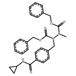 CN(C(=O)OCc1ccccc1)N(Cc1ccc(C(=O)NC2CC2)cc1)C(=O)OCc1ccccc1